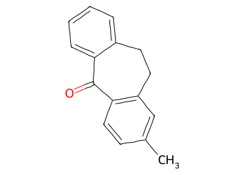 Cc1ccc2c(c1)CCc1ccccc1C2=O